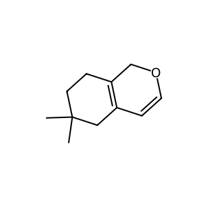 CC1(C)CCC2=C(C=COC2)C1